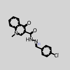 Cn1cc(C(=O)N/N=C/c2ccc(Cl)cc2)c(=O)c2ccccc21